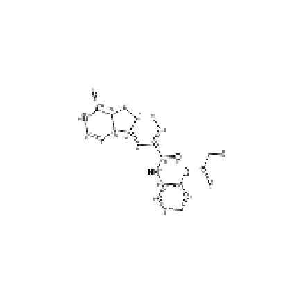 C=CC(=O)Nc1ccccc1NC(=O)C1=CCC2CC3C(=O)NC=CN3C2=C1